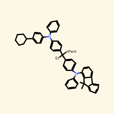 CCCCCC(CC)(c1ccc(N(c2ccccc2)c2ccc(C3CCCCC3)cc2)cc1)c1ccc(N(c2ccccc2)c2cccc3c2C(C)(C)c2ccccc2-3)cc1